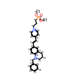 CCOP(=O)(CCC[n+]1ccc(C=Cc2ccc3c(c2)CCCN3Cc2ccccc2)cc1)OCC